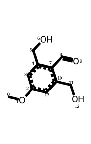 COc1cc(CO)c(C=O)c(CO)c1